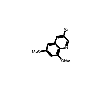 COc1cc(OC)c2ncc(Br)cc2c1